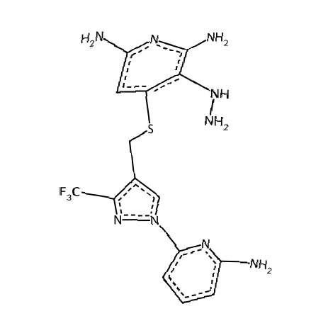 NNc1c(SCc2cn(-c3cccc(N)n3)nc2C(F)(F)F)cc(N)nc1N